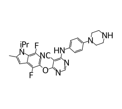 Cc1cc2c(F)c(Oc3ncnc(Nc4ccc(N5CCNCC5)cc4)c3C#N)cc(F)c2n1C(C)C